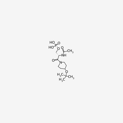 CC(=O)N[C@@H](COP(=O)(O)O)C(=O)N1CCC(OC(C)(C)C)CC1